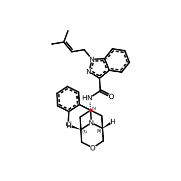 CC(C)=CCn1nc(C(=O)N[C@H]2C[C@H]3COC[C@@H](C2)N3Cc2ccccc2Cl)c2ccccc21